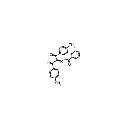 Cc1ccc(C(=O)C(=NOC(=O)c2ccccc2)C(=O)c2ccc(C)cc2)cc1